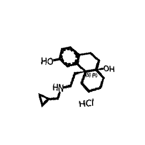 Cl.Oc1ccc2c(c1)[C@@]1(CCNCC3CC3)CCCC[C@@]1(O)CC2